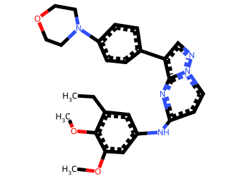 CCc1cc(Nc2ccn3ncc(-c4ccc(N5CCOCC5)cc4)c3n2)cc(OC)c1OC